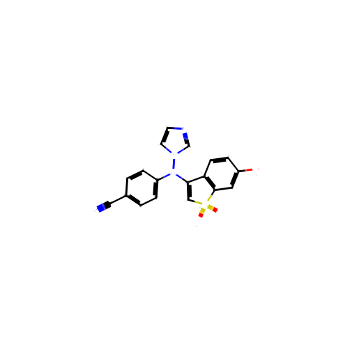 N#Cc1ccc(N(C2=CS(=O)(=O)c3cc(O)ccc32)n2ccnc2)cc1